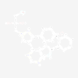 OCC(F)(F)Cn1cc(-c2ncnc3oc(-c4ccccc4)cc23)c(-c2ccc(F)cc2)n1